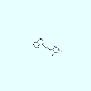 C\C=N/C(=C\C=C\Oc1ncccc1C)C(F)F